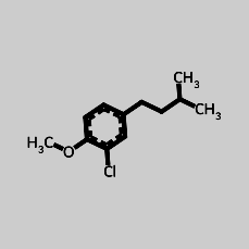 COc1ccc(CCC(C)C)cc1Cl